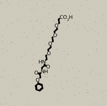 O=C(O)CCOCCOCCOCCOCCNC(=O)CNC(=O)COc1ccccc1